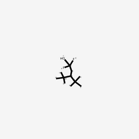 CC(C)(C)C(CC(O)(F)F)C(C)(C)C